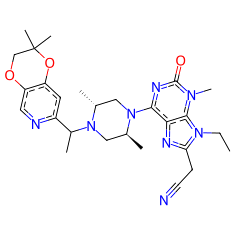 CCn1c(CC#N)nc2c(N3C[C@@H](C)N(C(C)c4cc5c(cn4)OCC(C)(C)O5)C[C@@H]3C)nc(=O)n(C)c21